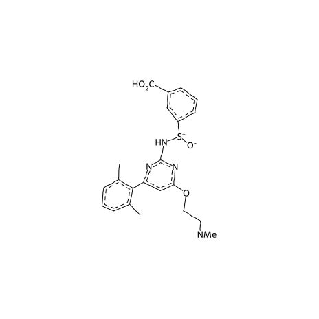 CNCCOc1cc(-c2c(C)cccc2C)nc(N[S+]([O-])c2cccc(C(=O)O)c2)n1